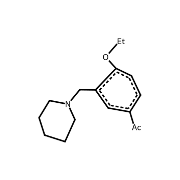 CCOc1ccc(C(C)=O)cc1CN1CCCCC1